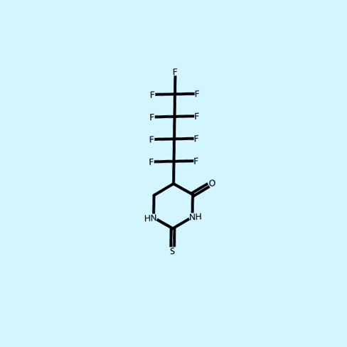 O=C1NC(=S)NCC1C(F)(F)C(F)(F)C(F)(F)C(F)(F)F